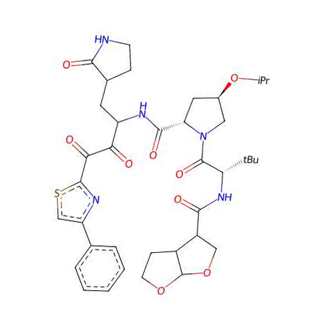 CC(C)O[C@@H]1C[C@@H](C(=O)NC(CC2CCNC2=O)C(=O)C(=O)c2nc(-c3ccccc3)cs2)N(C(=O)[C@@H](NC(=O)C2COC3OCCC32)C(C)(C)C)C1